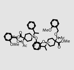 COC(=O)C1(N(OCc2ccccc2OC)C(C)=O)CC[N+](OC(=O)C(=O)O[N+]2(C(C)c3ccccc3)CCC(C(=O)OC)(N(OCc3ccccc3OC)C(C)=O)CC2)(C(C)c2ccccc2)CC1